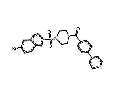 O=C(c1ccc(-c2ccncc2)cc1)N1CCN(S(=O)(=O)c2ccc3cc(Br)ccc3c2)CC1